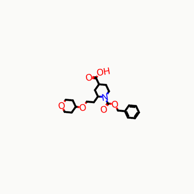 O=C(O)C1CCN(C(=O)OCc2ccccc2)C(CCOC2CCOCC2)C1